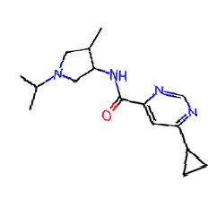 CC1CN(C(C)C)CC1NC(=O)c1cc(C2CC2)ncn1